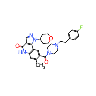 Cc1cc2[nH]c(=O)c3cnn(C4CCOCC4)c3c2cc1C(=O)N1CCN(CCc2ccc(F)cc2)CC1